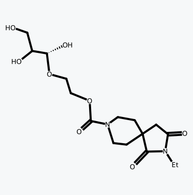 CCN1C(=O)CC2(CCN(C(=O)OCCO[C@@H](O)C(O)CO)CC2)C1=O